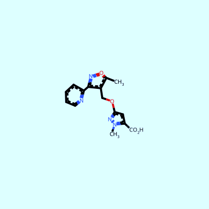 Cc1onc(-c2ccccn2)c1COc1cc(C(=O)O)n(C)n1